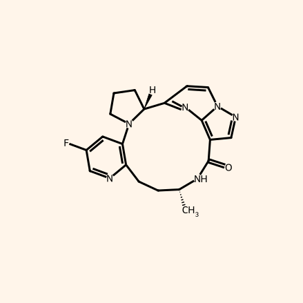 C[C@@H]1CCc2ncc(F)cc2N2CCC[C@@H]2c2ccn3ncc(c3n2)C(=O)N1